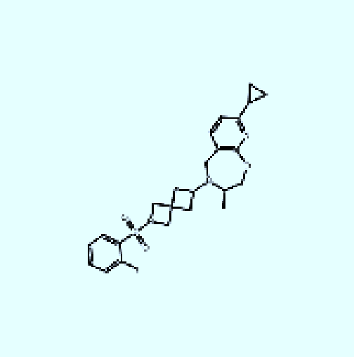 C[C@@H]1COc2nc(C3CC3)ccc2CN1C1CC2(C1)CN(S(=O)(=O)c1ccccc1F)C2